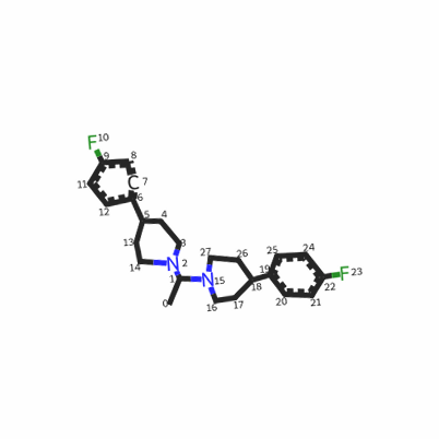 CC(N1CCC(c2ccc(F)cc2)CC1)N1CCC(c2ccc(F)cc2)CC1